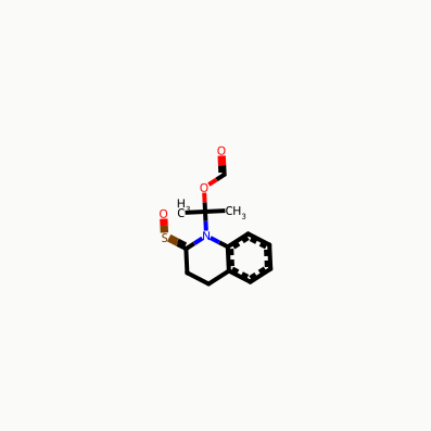 CC(C)(OC=O)N1C(=S=O)CCc2ccccc21